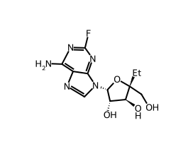 CC[C@]1(CO)O[C@@H](n2cnc3c(N)nc(F)nc32)[C@@H](O)[C@@H]1O